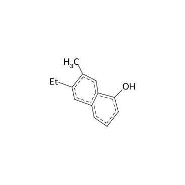 CCc1cc2cccc(O)c2cc1C